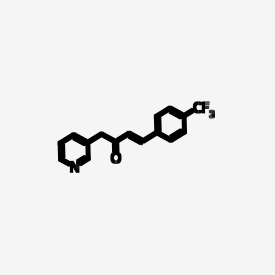 O=C(C=Cc1ccc(C(F)(F)F)cc1)Cc1cccnc1